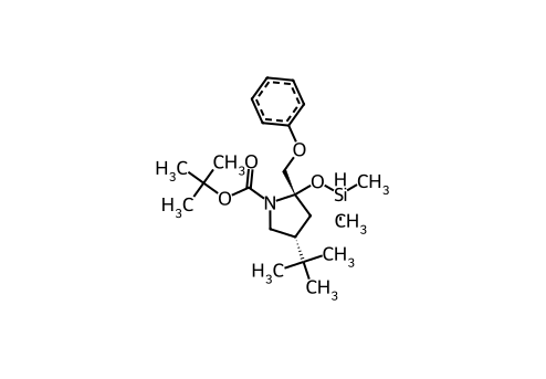 C[SiH](C)O[C@]1(COc2ccccc2)C[C@H](C(C)(C)C)CN1C(=O)OC(C)(C)C